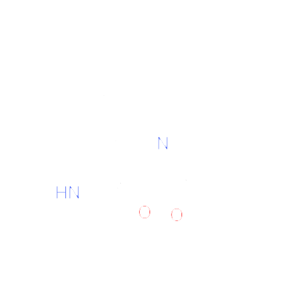 CC(=O)N1CCCC12CNC2=O